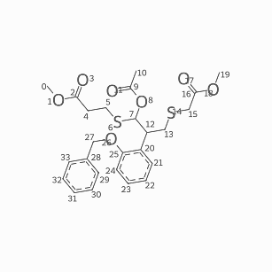 COC(=O)CCSC(OC(C)=O)C(CSCC(=O)OC)c1ccccc1OCc1ccccc1